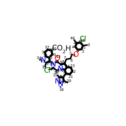 Cc1cc(OCCCc2c3n(c4c(-c5c(C)nn(C)c5C)cccc24)[C@H](C)C(Cl)N(c2c(C)n(C)c4ccc(C(=O)O)cc24)C3=O)cc(C)c1Cl